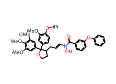 CCCOc1ccc(C2(c3cc(OC)c(OC)c(OC)c3)OCCC2C/C=C/N(O)C(=O)c2cccc(Oc3ccccc3)c2)cc1OC